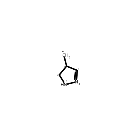 CC1[CH]NN=C1